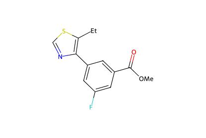 CCc1scnc1-c1cc(F)cc(C(=O)OC)c1